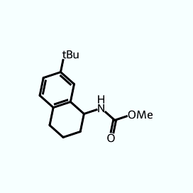 COC(=O)NC1CCCc2ccc(C(C)(C)C)cc21